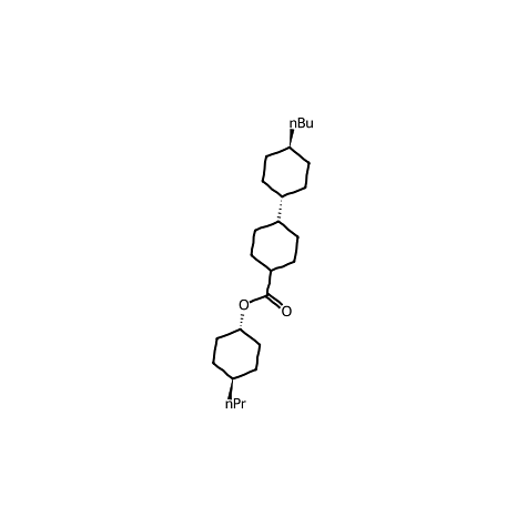 CCCC[C@H]1CC[C@H](C2CCC(C(=O)O[C@H]3CC[C@H](CCC)CC3)CC2)CC1